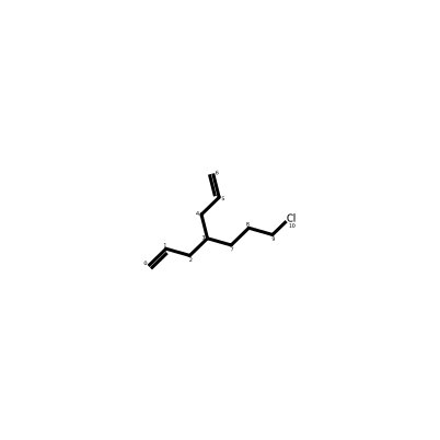 C=CCC(CC=C)CCCCl